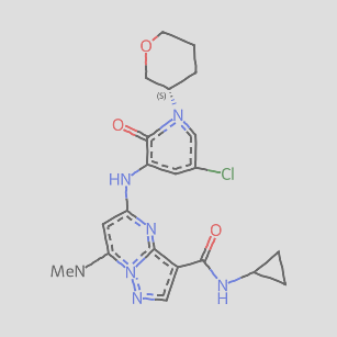 CNc1cc(Nc2cc(Cl)cn([C@H]3CCCOC3)c2=O)nc2c(C(=O)NC3CC3)cnn12